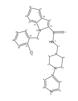 O=C(NCC1CCN(c2ccncc2)CC1)c1cc2ccccc2n1Cc1ccccc1Cl